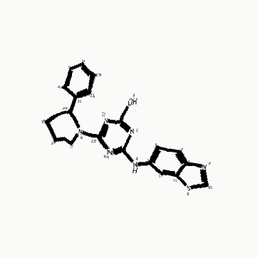 Oc1nc(Nc2ccc3ncsc3c2)nc(N2CCCC2c2ccccc2)n1